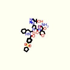 CC(C)(O)c1cnnn1[C@H]1C[C@@H](C(=O)NC2(C(=O)C(N)=O)CCOCC2)N(C(=O)C(CC2CCCCC2)NC(=O)c2ccc(S(=O)(=O)C3CCCC3)cc2)C1